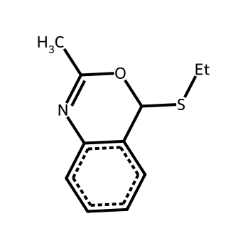 CCSC1OC(C)=Nc2ccccc21